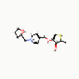 CC1SC=C(OCC2=CCN(CC3CCCO3)C=C2)C1=O